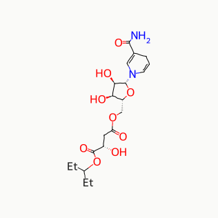 CCC(CC)OC(=O)[C@@H](O)CC(=O)OC[C@H]1O[C@@H](N2C=CCC(C(N)=O)=C2)[C@H](O)[C@@H]1O